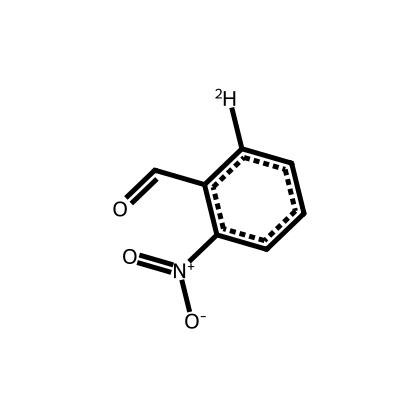 [2H]c1cccc([N+](=O)[O-])c1C=O